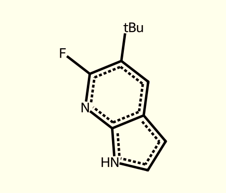 CC(C)(C)c1cc2cc[nH]c2nc1F